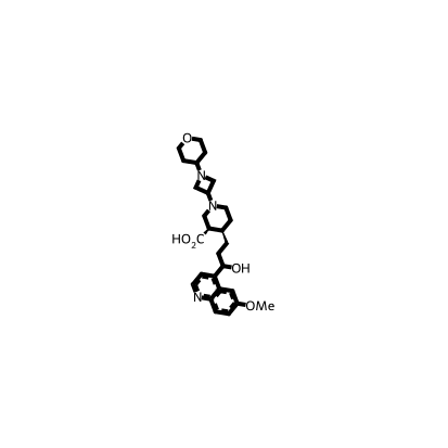 COc1ccc2nccc(C(O)CC[C@@H]3CCN(C4CN(C5CCOCC5)C4)C[C@@H]3C(=O)O)c2c1